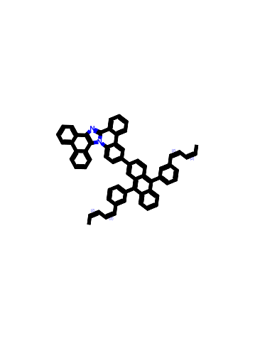 C/C=C\C=C/c1cccc(-c2c3ccccc3c(-c3cccc(/C=C\C=C/C)c3)c3cc(-c4ccc5c(c4)c4ccccc4c4nc6c7ccccc7c7ccccc7c6n54)ccc23)c1